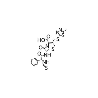 Cc1nnc(SCC2=C(C(=O)O)N3C(=O)C(NC(=O)C(NC=S)c4ccccc4)C3SC2)s1